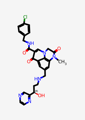 CN1C(=O)Cn2cc(C(=O)NCc3ccc(Cl)cc3)c(=O)c3cc(CNCC[C@@H](O)c4cnccn4)cc1c32